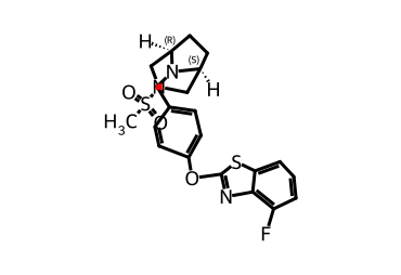 CS(=O)(=O)N1C[C@H]2CC[C@@H](C1)N2Cc1ccc(Oc2nc3c(F)cccc3s2)cc1